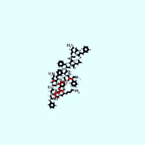 CN[C@@H](CCCCN)CN(CC(=O)N[C@@H](Cc1ccccc1)CN(CC(=O)N[C@@H](CCCCN)CN(CC(=O)N[C@@H](CCCCN)CN(CC(=O)N[C@@H](Cc1ccccc1)CN(CC(=O)N[C@@H](CCCCN)CN(CC(C)=O)C(=O)CCc1ccccc1)C(=O)CCC(C)C)C(=O)CCc1ccccc1)C(=O)CCc1ccccc1)C(=O)CCC(C)C)C(=O)CCc1ccccc1